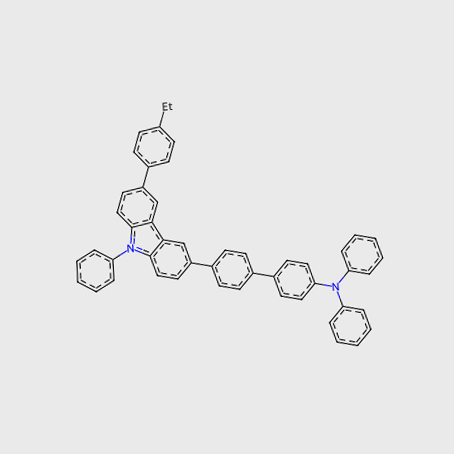 CCc1ccc(-c2ccc3c(c2)c2cc(-c4ccc(-c5ccc(N(c6ccccc6)c6ccccc6)cc5)cc4)ccc2n3-c2ccccc2)cc1